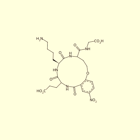 NCCCC[C@@H]1NC(=O)C(CCC(=O)O)NC(=O)c2cc([N+](=O)[O-])ccc2OCCC(C(=O)NCC(=O)O)NC1=O